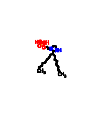 CC=CCCCCCC(CCCCCCCC)C1NCCN1CCOP(=O)(O)O